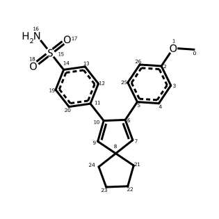 COc1ccc(C2=CC3(C=C2c2ccc(S(N)(=O)=O)cc2)CCCC3)cc1